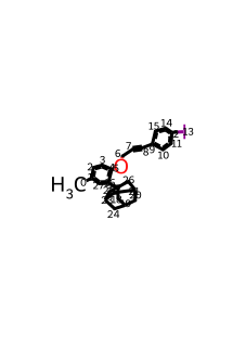 Cc1ccc(OCC#Cc2ccc(I)cc2)c(C23CC4CC(CC(C4)C2)C3)c1